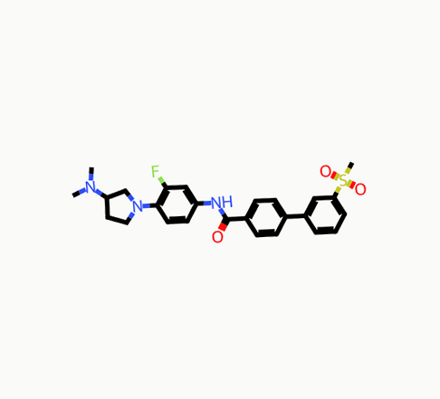 CN(C)C1CCN(c2ccc(NC(=O)c3ccc(-c4cccc(S(C)(=O)=O)c4)cc3)cc2F)C1